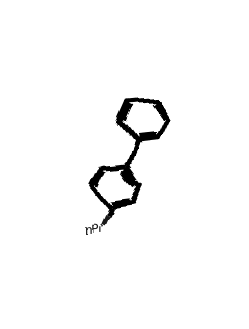 CCCc1c[c]c(-c2ccccc2)cc1